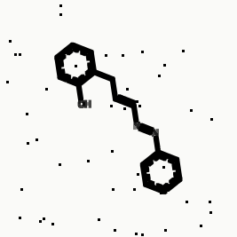 Oc1ccccc1CC=CN=Nc1ccccc1